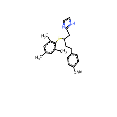 COc1ccc(CCC(Cc2ncc[nH]2)Sc2c(C)cc(C)cc2C)cc1